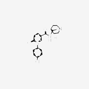 O=C(N[C@@H]1CN2CCC1CC2)c1ccc(=O)n(-c2ccc(Cl)cc2)c1